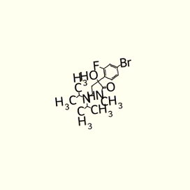 CNC(=O)C(O)(CCN(C(C)C)C(C)C)c1ccc(Br)cc1F